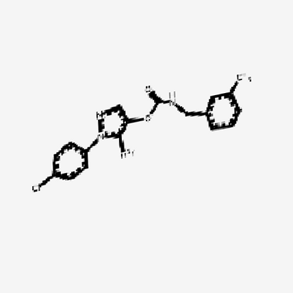 CCCc1c(OC(=O)NCc2cccc(C(F)(F)F)c2)cnn1-c1ccc(Cl)cc1